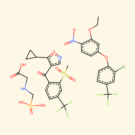 CCOc1cc(Oc2ccc(C(F)(F)F)cc2Cl)ccc1[N+](=O)[O-].CS(=O)(=O)c1cc(C(F)(F)F)ccc1C(=O)c1cnoc1C1CC1.O=C(O)CNCP(=O)(O)O